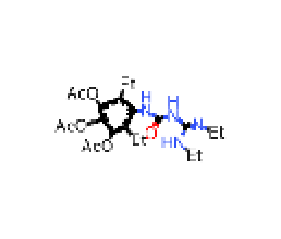 CCN=C(NCC)NC(=O)Nc1c(CC)c(OC(C)=O)c(OC(C)=O)c(OC(C)=O)c1CC